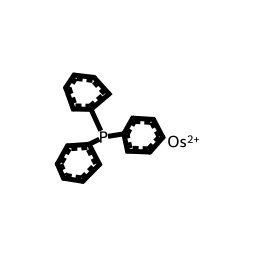 [Os+2].c1ccc(P(c2ccccc2)c2ccccc2)cc1